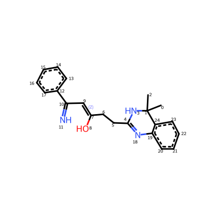 CC1(C)NC(CC/C(O)=C/C(=N)c2ccccc2)=Nc2ccccc21